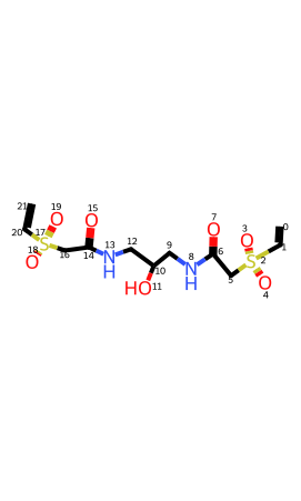 C=CS(=O)(=O)CC(=O)NCC(O)CNC(=O)CS(=O)(=O)C=C